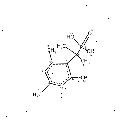 Cc1cc(C)c(C(C)(C)P(=O)(O)O)c(C)c1